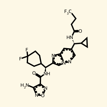 Nc1nonc1C(=O)N[C@H](c1cn2ncc([C@H](NC(=O)CCC(F)(F)F)C3CC3)cc2n1)C1CCC(F)(F)CC1